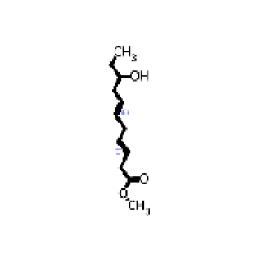 CCC(O)C/C=C/C/C=C/CC(=O)OC